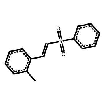 Cc1ccccc1/C=C/S(=O)(=O)c1ccccc1